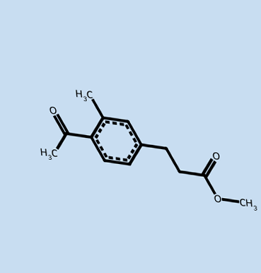 COC(=O)CCc1ccc(C(C)=O)c(C)c1